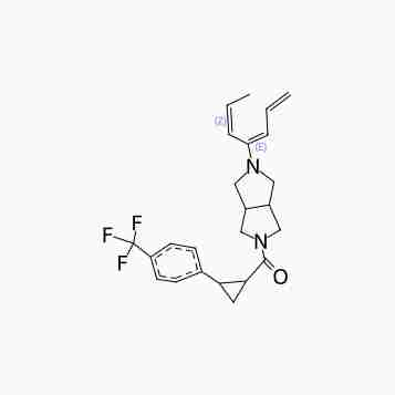 C=C/C=C(\C=C/C)N1CC2CN(C(=O)C3CC3c3ccc(C(F)(F)F)cc3)CC2C1